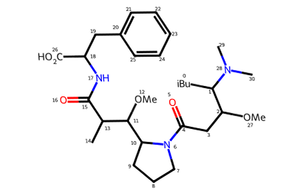 CCC(C)C(C(CC(=O)N1CCCC1C(OC)C(C)C(=O)NC(Cc1ccccc1)C(=O)O)OC)N(C)C